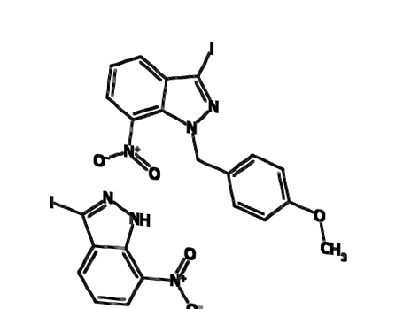 COc1ccc(Cn2nc(I)c3cccc([N+](=O)[O-])c32)cc1.O=[N+]([O-])c1cccc2c(I)n[nH]c12